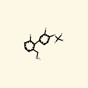 NCc1cccc(F)c1-c1ccc(OC(F)(F)F)c(F)c1